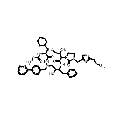 CCC(C)C(C(=O)NC(Cc1ccccc1)C(O)CN(Cc1ccc(-c2ccccn2)cc1)NC(=O)C(CC1CCCCC1)NC(=O)OC)N1CCN(Cc2csc(COC)n2)C1=O